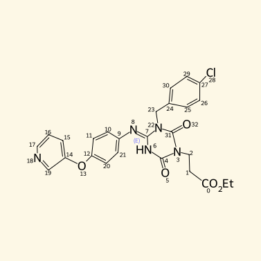 CCOC(=O)CCn1c(=O)[nH]/c(=N\c2ccc(Oc3cccnc3)cc2)n(Cc2ccc(Cl)cc2)c1=O